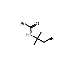 CCC(C)C(=O)NC(C)(C)CC(C)C